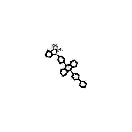 CC[C@H]1N(C)c2ccccc2N1c1ccc(-c2c3ccccc3c(-c3ccc(-c4ccccc4)cc3)c3ccccc23)cc1